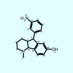 CN1CCCC2C(c3cccc(N)c3)c3cc(O)ccc3C21